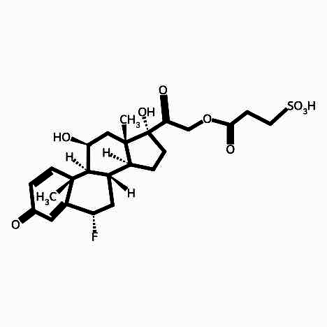 C[C@]12C=CC(=O)C=C1[C@@H](F)C[C@@H]1[C@@H]2[C@@H](O)C[C@@]2(C)[C@H]1CC[C@]2(O)C(=O)COC(=O)CCS(=O)(=O)O